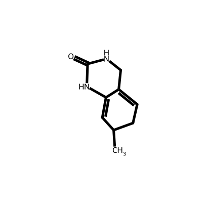 CC1C=C2NC(=O)NCC2=CC1